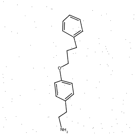 NCCc1ccc(OCCCc2ccccc2)cc1